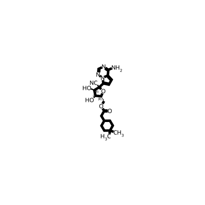 CC1(C)CCC(CC(=O)OC[C@H]2O[C@@](C#N)(c3ccc4c(N)ncnn34)[C@H](O)[C@@H]2O)CC1